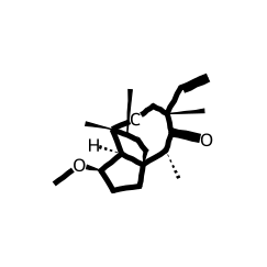 C=C[C@@]1(C)CC[C@]2(C)[C@H](C)CC[C@]3(CC[C@@H](OC)[C@@H]23)[C@@H](C)C1=O